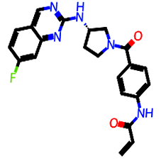 C=CC(=O)Nc1ccc(C(=O)N2CC[C@H](Nc3ncc4ccc(F)cc4n3)C2)cc1